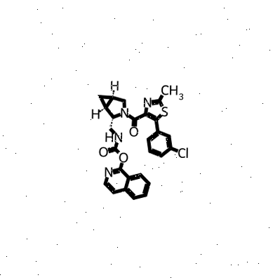 Cc1nc(C(=O)N2C[C@@H]3C[C@@H]3[C@H]2CNC(=O)Oc2nccc3ccccc23)c(-c2cccc(Cl)c2)s1